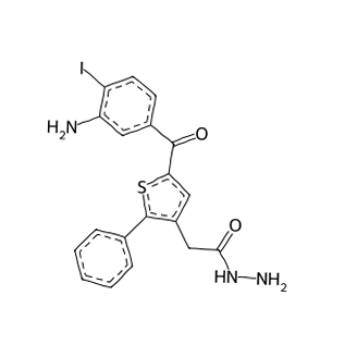 NNC(=O)Cc1cc(C(=O)c2ccc(I)c(N)c2)sc1-c1ccccc1